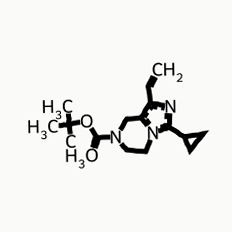 C=Cc1nc(C2CC2)n2c1CN(C(=O)OC(C)(C)C)CC2